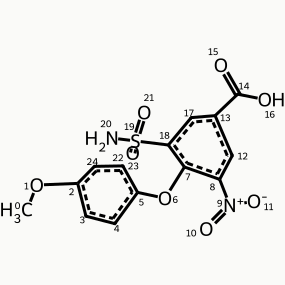 COc1ccc(Oc2c([N+](=O)[O-])cc(C(=O)O)cc2S(N)(=O)=O)cc1